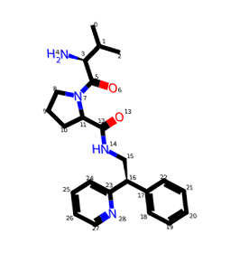 CC(C)[C@H](N)C(=O)N1CCCC1C(=O)NC[C@@H](c1ccccc1)c1ccccn1